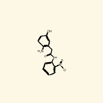 Nc1ccc(O)cc1CC(=O)Nc1ccccc1[N+](=O)[O-]